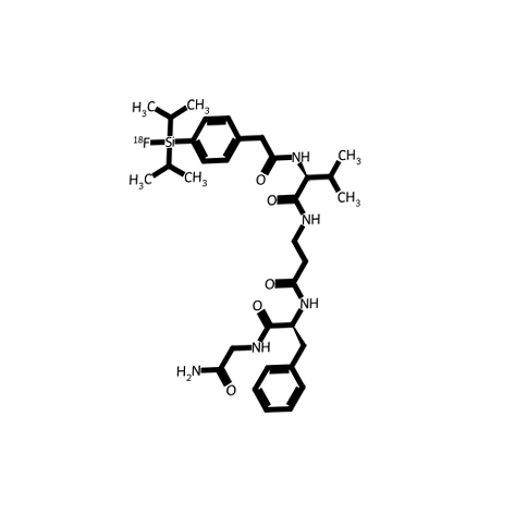 CC(C)[C@H](NC(=O)Cc1ccc([Si]([18F])(C(C)C)C(C)C)cc1)C(=O)NCCC(=O)N[C@@H](Cc1ccccc1)C(=O)NCC(N)=O